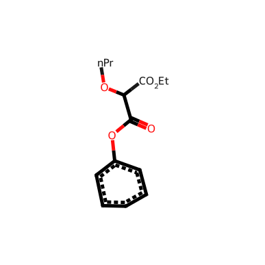 CCCOC(C(=O)OCC)C(=O)Oc1ccccc1